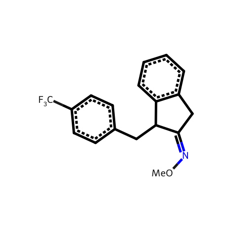 CON=C1Cc2ccccc2C1Cc1ccc(C(F)(F)F)cc1